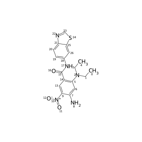 CCN(CC)c1cc(N)c([N+](=O)[O-])cc1C(=O)Nc1ccc2ncsc2c1